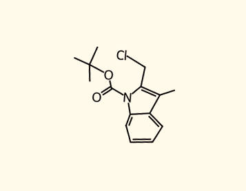 Cc1c(CCl)n(C(=O)OC(C)(C)C)c2ccccc12